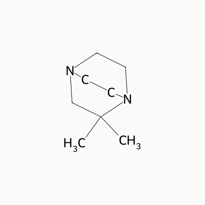 CC1(C)CN2CCN1CC2